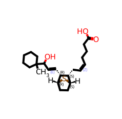 CC1(C(O)/C=C/[C@@H]2[C@H](C/C=C\CCCC(=O)O)[C@@H]3CC[C@H]2S3)CCCCC1